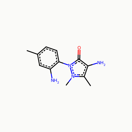 Cc1ccc(-n2c(=O)c(N)c(C)n2C)c(N)c1